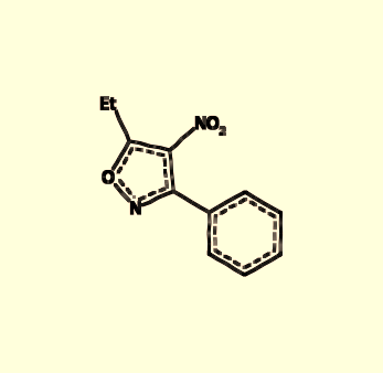 CCc1onc(-c2ccccc2)c1[N+](=O)[O-]